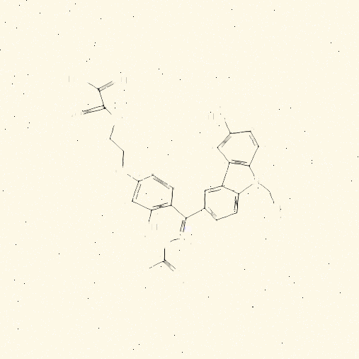 C=C(C)C(=O)OCCOc1ccc(/C(=N\OC(C)=O)c2ccc3c(c2)c2cc(N)ccc2n3CC)c(C)c1